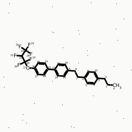 CCCc1ccc(CCc2ccc(-c3ccc(OC(F)(F)C(F)C(F)(F)F)cc3)cc2)cc1